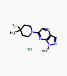 CC(=O)On1ncc2ncc(N3CCC(C)(C)CC3)nc21.Cl